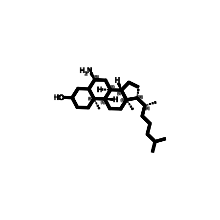 CC(C)CCC[C@@H](C)[C@H]1CC[C@H]2[C@@H]3C[C@H](N)C4CC(O)CC[C@]4(C)[C@H]3CC[C@]12C